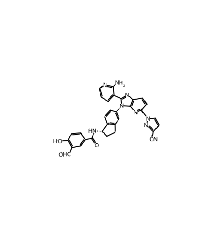 N#Cc1ccn(-c2ccc3nc(-c4cccnc4N)n(-c4ccc5c(c4)CC[C@@H]5NC(=O)c4ccc(O)c(C=O)c4)c3n2)n1